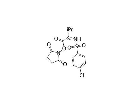 CC(C)[C@H](NS(=O)(=O)c1ccc(Cl)cc1)C(=O)ON1C(=O)CCC1=O